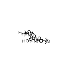 BBC(=O)NC(C(=O)N1C[C@H](O)CC1C1=NC(=O)[C@](C)(c2ccc(-c3scnc3C)cc2)N1)C(C)(C)C